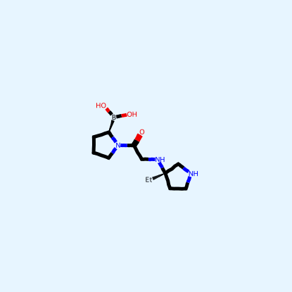 CC[C@]1(NCC(=O)N2CCC[C@H]2B(O)O)CCNC1